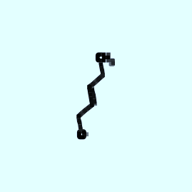 CCC=CC[O]